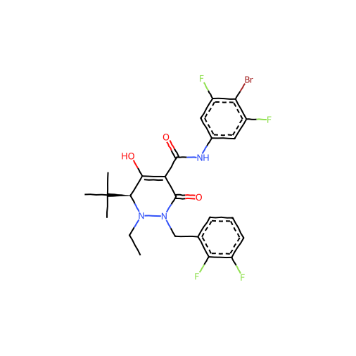 CCN1[C@@H](C(C)(C)C)C(O)=C(C(=O)Nc2cc(F)c(Br)c(F)c2)C(=O)N1Cc1cccc(F)c1F